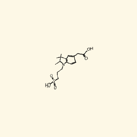 CC1N(CCCS(=O)(=O)O)c2ccc(CC(=O)O)cc2C1(C)C